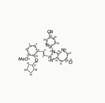 COc1cccc(C=Cc2nc3cc(Cl)cnc3n2-c2ccc(C#N)cn2)c1OC1CCCC1